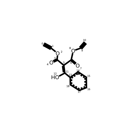 C#COC(=O)C(C(=O)OC#C)=C(O)c1ccccc1